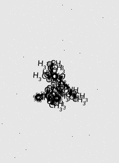 COC(=O)C1(NC(=O)OC(C)(C)C)CCN(C(=O)[C@@H](CCCCNC(=O)OC(C)(C)C)NC(=O)C(CC(C)(C)F)NC(=O)[C@@H](Cc2ccccc2)NC(=O)[C@@H](Cc2ccccc2)NC(=O)OC(C)(C)C)CC1